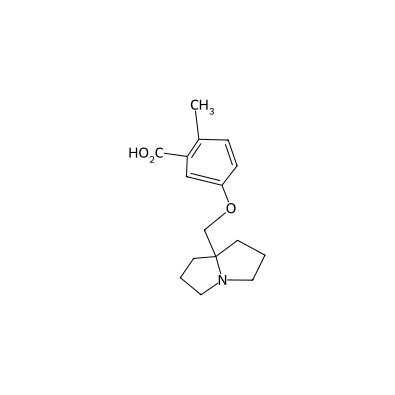 Cc1ccc(OCC23CCCN2CCC3)cc1C(=O)O